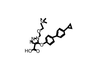 C[Si](C)(C)CCOCn1nnc(C(=O)O)c1Oc1ccc(-c2ccc(C3CC3)cc2)cc1